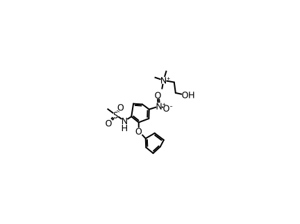 CS(=O)(=O)Nc1ccc([N+](=O)[O-])cc1Oc1ccccc1.C[N+](C)(C)CCO